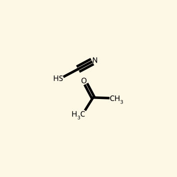 CC(C)=O.N#CS